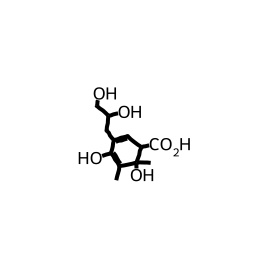 CC1=C(O)C(CC(O)CO)=CC(C(=O)O)C1(C)O